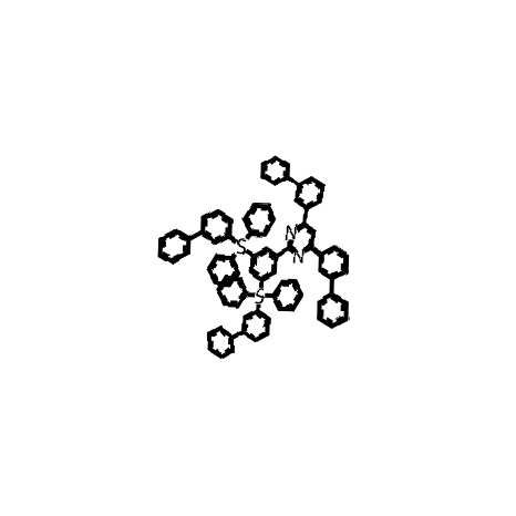 c1ccc(-c2cccc(-c3cc(-c4cccc(-c5ccccc5)c4)nc(-c4cc(S(c5ccccc5)(c5ccccc5)c5cccc(-c6ccccc6)c5)cc(S(c5ccccc5)(c5ccccc5)c5cccc(-c6ccccc6)c5)c4)n3)c2)cc1